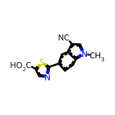 Cn1cc(C#N)c2cc(-c3ncc(C(=O)O)s3)ccc21